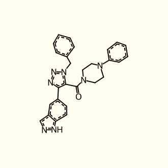 O=C(c1c(-c2ccc3[nH]ncc3c2)nnn1Cc1ccccc1)N1CCN(c2ccccc2)CC1